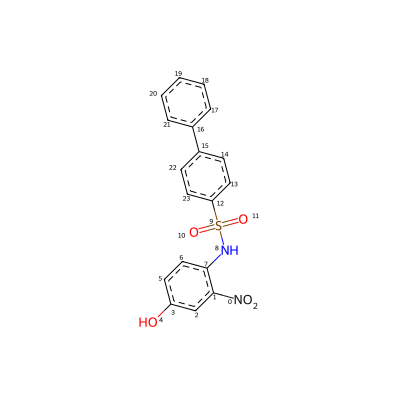 O=[N+]([O-])c1cc(O)ccc1NS(=O)(=O)c1ccc(-c2ccccc2)cc1